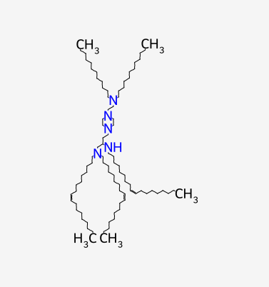 CCCCCCCC/C=C\CCCCCCCCNC(CCN1CCN(CCN(CCCCCCCCCCCC)CCCCCCCCCCCC)CC1)CN(CCCCCCCC/C=C\CCCCCCCC)CCCCCCCC/C=C\CCCCCCCC